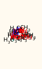 CC[C@H]1OC(=O)[C@H](C)[C@@H](O[C@H]2C[C@@](C)(OC)[C@@H](O)[C@H](C)O2)[C@H](C)[C@@H](O[C@@H]2O[C@H](C)C[C@H](N(C)CCc3cn(C[C@H]4CN(c5ccc(C)c(F)c5)C(=O)O4)nn3)[C@H]2O)[C@](C)(O)C[C@@H](C)CN(C)[C@H](C)[C@@H](O)[C@]1(C)O